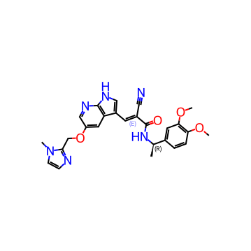 COc1ccc([C@@H](C)NC(=O)/C(C#N)=C/c2c[nH]c3ncc(OCc4nccn4C)cc23)cc1OC